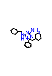 NC1=NC(CC2CCCCC2)(c2ccccc2)NC(NCC2CCCCC2)=N1